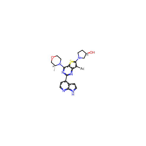 CC(=O)c1c(N2CC[C@@H](O)C2)sc2c(N3CCOC[C@H]3C)nc(-c3ccnc4[nH]ccc34)nc12